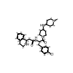 CN1CCC(NC2CCN(C(=O)[C@@H](Cc3ccc(Cl)cc3)NC(=O)CC3NCCc4ccccc43)CC2)CC1